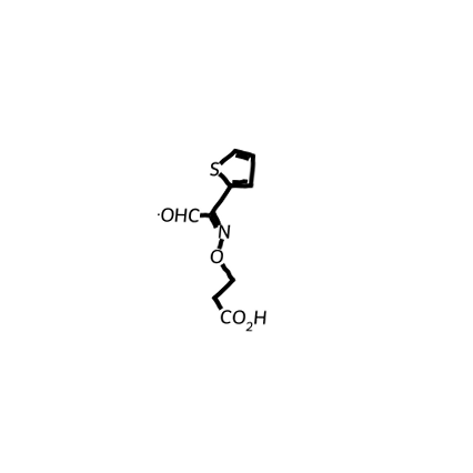 O=[C]C(=NOCCC(=O)O)c1cccs1